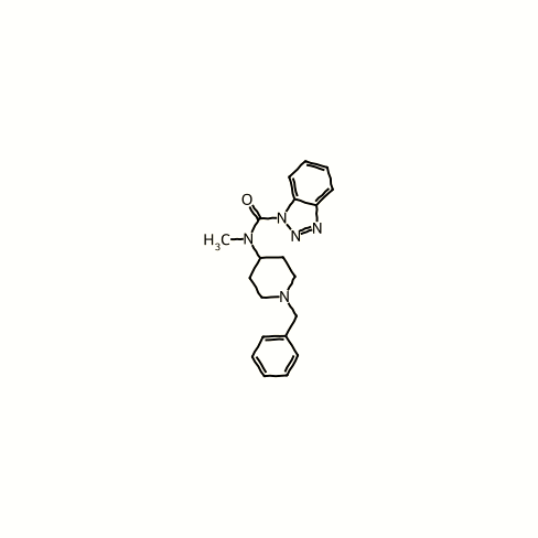 CN(C(=O)n1nnc2ccccc21)C1CCN(Cc2ccccc2)CC1